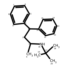 CC(CC(c1ccccc1)c1ccccc1)NC(C)(C)C